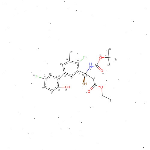 CCOC(=O)C[C@@](S)(NC(=O)OC(C)(C)C)c1cc(-c2cc(F)ccc2O)cc(C)c1F